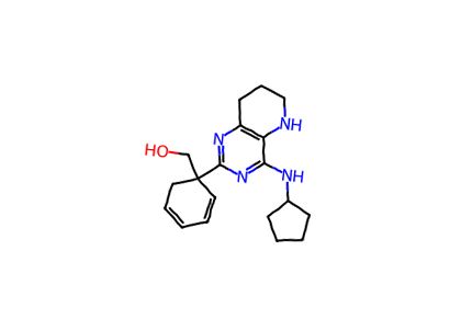 OCC1(c2nc3c(c(NC4CCCC4)n2)NCCC3)C=CC=CC1